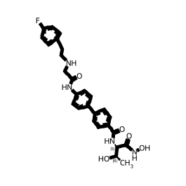 C[C@@H](O)[C@H](NC(=O)c1ccc(-c2ccc(NC(=O)CNCCc3ccc(F)cc3)cc2)cc1)C(=O)NO